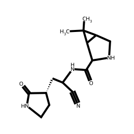 CC1(C)C2CNC(C(=O)NC(C#N)C[C@@H]3CCNC3=O)C21